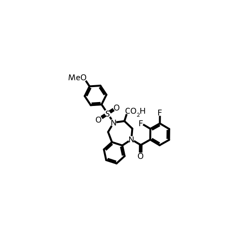 COc1ccc(S(=O)(=O)N2Cc3ccccc3N(C(=O)c3cccc(F)c3F)CC2C(=O)O)cc1